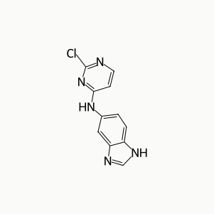 Clc1nccc(Nc2ccc3[nH]cnc3c2)n1